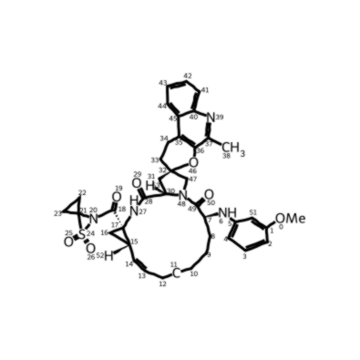 COc1cccc(N[C@H]2CCCCC/C=C\[C@@H]3C[C@@]3(C(=O)N3C4(CC4)S3(=O)=O)NC(=O)[C@@H]3C[C@]4(CCc5c(c(C)nc6ccccc56)O4)CN3C2=O)c1